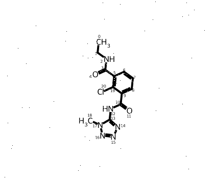 CCNC(=O)c1cccc(C(=O)Nc2nnnn2C)c1Cl